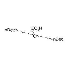 CCCCCCCCCCCCCCCCCCOC(CCCCCCCCCCCCCCCCCC)COC(=O)O